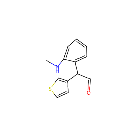 CNc1ccccc1C(C=O)c1ccsc1